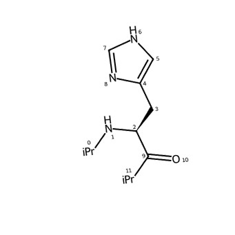 CC(C)N[C@@H](Cc1c[nH]cn1)C(=O)C(C)C